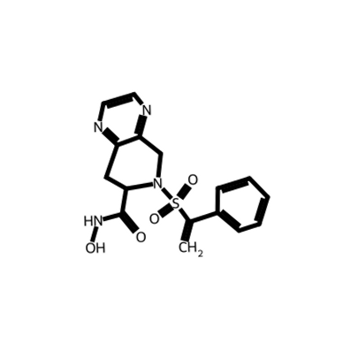 C=C(c1ccccc1)S(=O)(=O)N1Cc2nccnc2CC1C(=O)NO